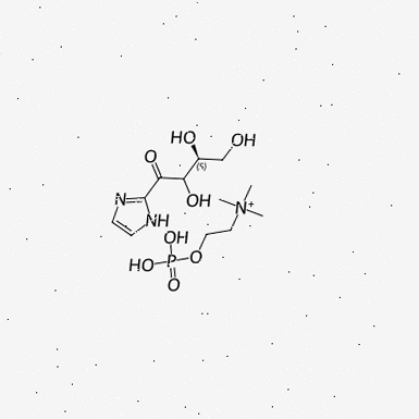 C[N+](C)(C)CCOP(=O)(O)O.O=C(c1ncc[nH]1)C(O)[C@@H](O)CO